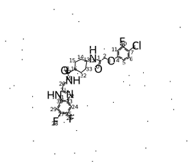 O=C(COc1ccc(Cl)c(F)c1)N[C@H]1CC[C@H](C(=O)NCc2nc3cc(F)c(F)cc3[nH]2)CC1